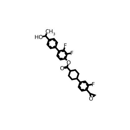 CC(O)c1ccc(-c2ccc(OC(=O)C3CCC(c4ccc(C5CO5)c(F)c4)CC3)c(F)c2F)cc1